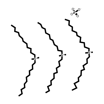 CCCCCCCCCCCC[N+](C)(C)CCCCCCCCCCCC.CCCCCCCCCCCC[N+](C)(C)CCCCCCCCCCCC.CCCCCCCCCCCC[N+](C)(C)CCCCCCCCCCCC.O=P([O-])([O-])[O-]